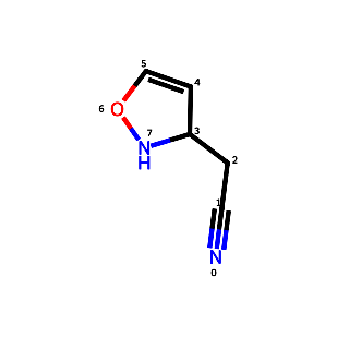 N#CCC1C=CON1